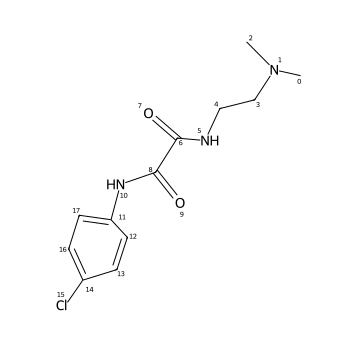 CN(C)CCNC(=O)C(=O)Nc1ccc(Cl)cc1